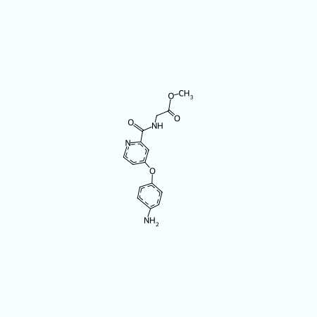 COC(=O)CNC(=O)c1cc(Oc2ccc(N)cc2)ccn1